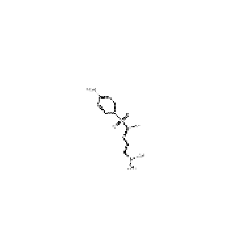 CC(=O)C(=CC=CN(C)C)S(=O)(=O)C1C=CC(O)=CC1